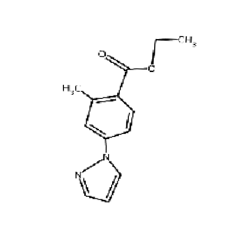 CCOC(=O)c1ccc(-n2cccn2)cc1C